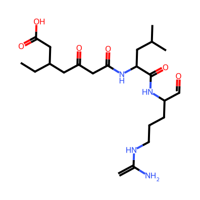 C=C(N)NCCCC(C=O)NC(=O)C(CC(C)C)NC(=O)CC(=O)CC(CC)CC(=O)O